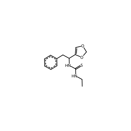 CCNC(=S)NC(Cc1ccccc1)C1=COCO1